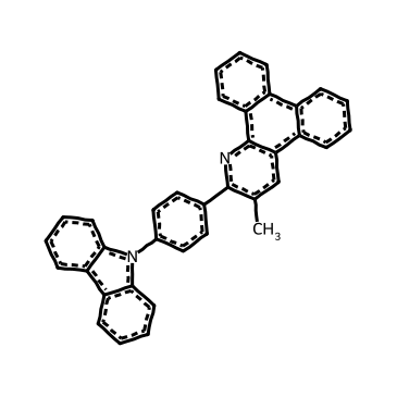 Cc1cc2c3ccccc3c3ccccc3c2nc1-c1ccc(-n2c3ccccc3c3ccccc32)cc1